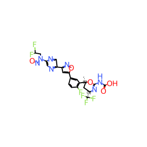 C[C@@]1(c2cc(-c3cc(-c4cnc(N(CC(F)F)N=O)cn4)no3)ccc2F)C[C@@H](C(F)(F)F)N=C(NC(=O)O)O1